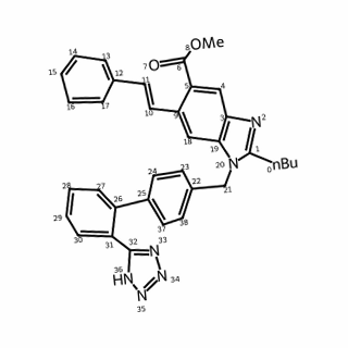 CCCCc1nc2cc(C(=O)OC)c(/C=C/c3ccccc3)cc2n1Cc1ccc(-c2ccccc2-c2nnn[nH]2)cc1